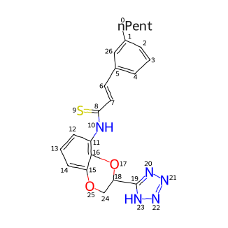 CCCCCc1cccc(C=CC(=S)Nc2cccc3c2OC(c2nnn[nH]2)CO3)c1